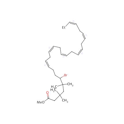 CC/C=C\C/C=C\C/C=C\C/C=C\C/C=C\C/C=C\CCC(Br)C(C)(C)CC(C)(C)CC(=O)OC